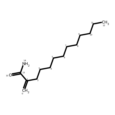 C=C(CCCCCCCCCCC)C(N)=O